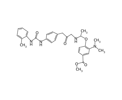 COC(=O)c1ccc(OC(C)NCC(=O)Cc2ccc(NC(=O)Nc3ccccc3C)cc2)c(N(C)C)c1